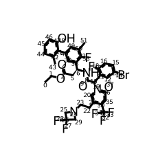 CCOC(=O)C[C@H](NC(=O)C(c1cc(Br)ccc1F)n1cc(CCN2CC(F)(F)C2)c(C(F)(F)F)cc1=O)c1cc(-c2c(C)cccc2O)cc(C)c1F